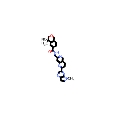 Cn1ccc2ncc(-c3ccc4cnc(CNC(=O)c5ccc6c(c5)[C@](C)(C#N)COC6)cc4n3)nc21